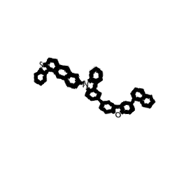 c1ccc2c(-c3ccc4oc5ccc(-c6ccc7c(c6)c6ccccc6n7-c6ccc7cc8c(ccc9sc%10ccccc%10c98)cc7c6)cc5c4c3)cccc2c1